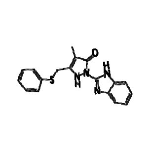 Cc1c(CSc2ccccc2)[nH]n(-c2nc3ccccc3[nH]2)c1=O